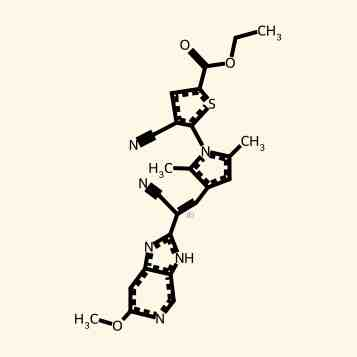 CCOC(=O)c1cc(C#N)c(-n2c(C)cc(/C=C(\C#N)c3nc4cc(OC)ncc4[nH]3)c2C)s1